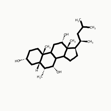 CC(C)C[C@@H](C)[C@H]1CCC2C3C(C[C@H](O)[C@@]21C)[C@@]1(C)CC[C@@H](O)C[C@H]1[C@@H](C)[C@H]3O